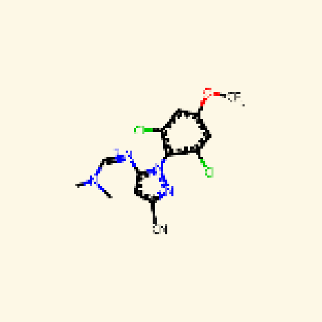 CN(C)/C=N\c1cc(C#N)nn1-c1c(Cl)cc(OC(F)(F)F)cc1Cl